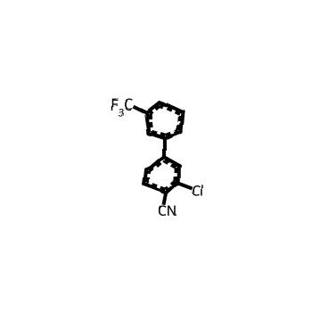 N#Cc1ccc(-c2cccc(C(F)(F)F)c2)cc1Cl